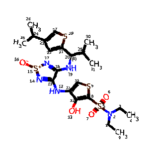 CCN(CC)S(=O)(=O)c1scc(Nc2n[s+]([O-])nc2N[C@@H](c2cc(C(C)C)cs2)C(C)C)c1O